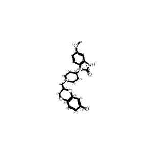 COc1ccc2c(c1)[nH]c(=O)n2C1CCN(CC2COc3ccc(Cl)cc3O2)CC1